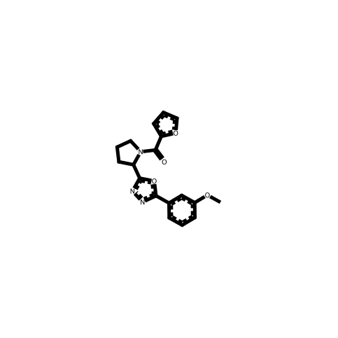 COc1cccc(-c2nnc(C3CCCN3C(=O)c3ccco3)o2)c1